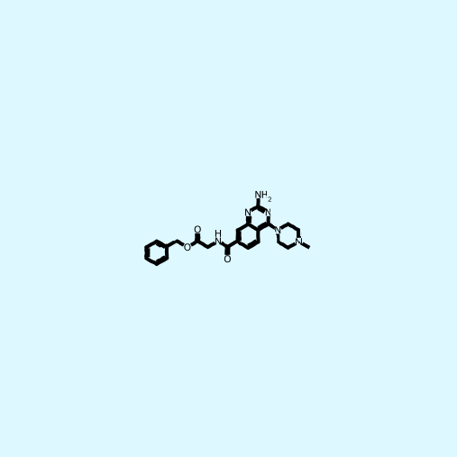 CN1CCN(c2nc(N)nc3cc(C(=O)NCC(=O)OCc4ccccc4)ccc23)CC1